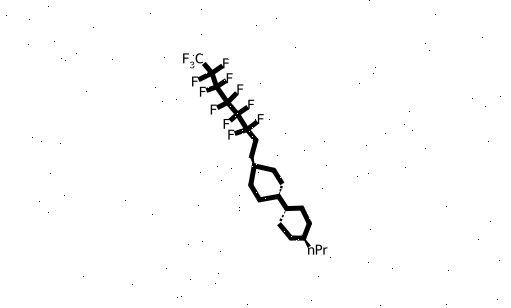 CCC[C@H]1CC[C@H]([C@H]2CC[C@H](CCC(F)(F)C(F)(F)C(F)(F)C(F)(F)C(F)(F)C(F)(F)F)CC2)CC1